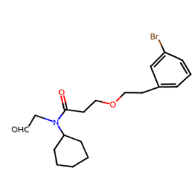 O=CCN(C(=O)CCOCCc1cccc(Br)c1)C1CCCCC1